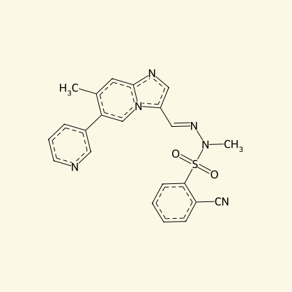 Cc1cc2ncc(C=NN(C)S(=O)(=O)c3ccccc3C#N)n2cc1-c1cccnc1